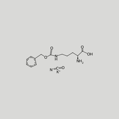 N[C@@H](CCCNC(=O)OCc1ccccc1)C(=O)O.[K+].[N-]=C=O